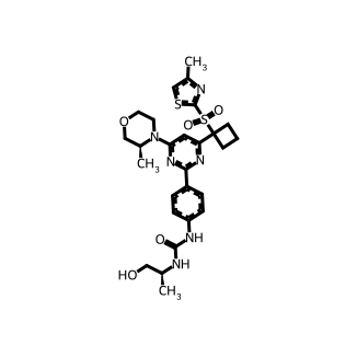 Cc1csc(S(=O)(=O)C2(c3cc(N4CCOC[C@@H]4C)nc(-c4ccc(NC(=O)N[C@@H](C)CO)cc4)n3)CCC2)n1